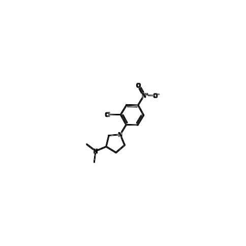 CN(C)C1CCN(c2ccc([N+](=O)[O-])cc2Cl)C1